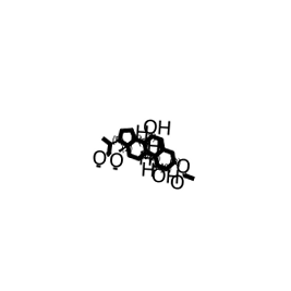 COC(OC)C(C)[C@H]1CC[C@H]2[C@@H]3[C@H](O)C=C4C[C@@H](OC(C)=O)[C@@H]5O[C@@H]5[C@]4(C)[C@H]3CC[C@]12C